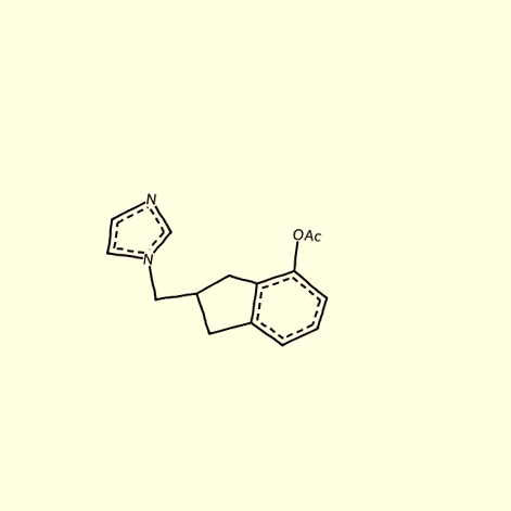 CC(=O)Oc1cccc2c1CC(Cn1ccnc1)C2